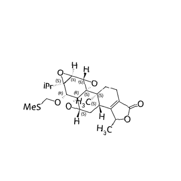 CSCO[C@@H]1[C@@]2(C(C)C)O[C@H]2[C@@H]2O[C@]23[C@]12O[C@H]2C[C@H]1C2=C(CC[C@@]13C)C(=O)OC2C